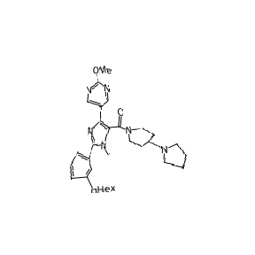 CCCCCCc1cccc(-c2nc(-c3cnc(OC)nc3)c(C(=O)N3CCC(N4CCCC4)CC3)n2C)c1